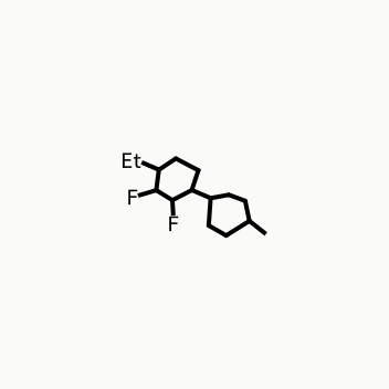 CCC1CCC(C2CCC(C)CC2)C(F)C1F